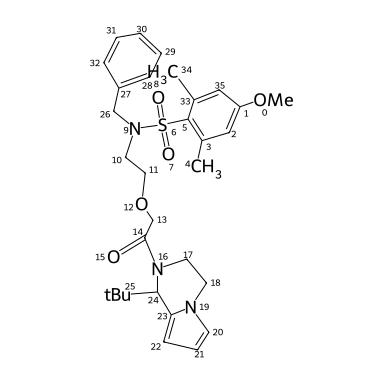 COc1cc(C)c(S(=O)(=O)N(CCOCC(=O)N2CCn3cccc3C2C(C)(C)C)Cc2ccccc2)c(C)c1